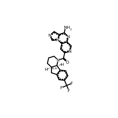 Nc1nc2cnc(C(=O)N3CCC[C@@H]4Cc5cc(C(F)(F)F)ccc5[C@@H]43)cc2n2cncc12